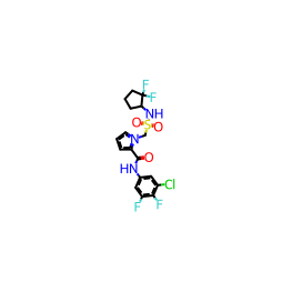 O=C(Nc1cc(F)c(F)c(Cl)c1)c1cccn1CS(=O)(=O)NC1CCCC1(F)F